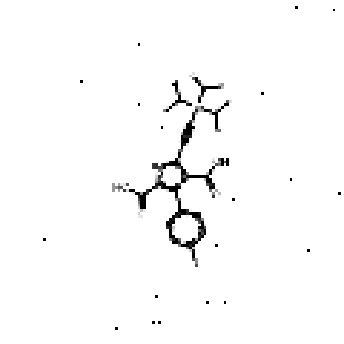 CC(C)[Si](C#Cc1[nH]c(C(=O)O)c(-c2ccc(F)cc2)c1C(=O)O)(C(C)C)C(C)C